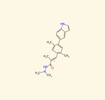 C/C(=C\c1cc(C)c(-c2ccc3[nH]ccc3c2)cc1C)C(=O)NN(C)C